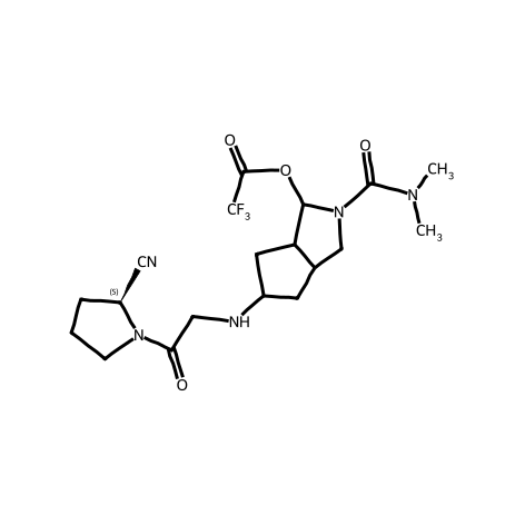 CN(C)C(=O)N1CC2CC(NCC(=O)N3CCC[C@H]3C#N)CC2C1OC(=O)C(F)(F)F